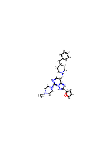 CN1CCN(c2ncc(CN3CCC(Cc4ccccc4)CC3)c3nc(-c4ccco4)nn23)CC1